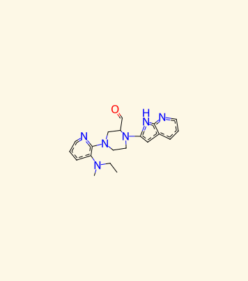 CCN(C)c1cccnc1N1CCN(c2cc3cccnc3[nH]2)C(C=O)C1